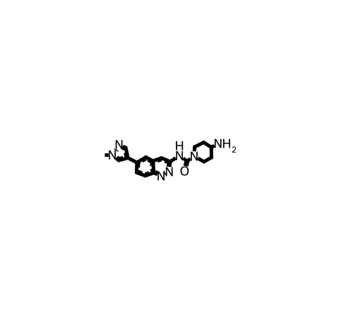 Cn1cc(-c2ccc3nnc(NC(=O)N4CCC(N)CC4)cc3c2)cn1